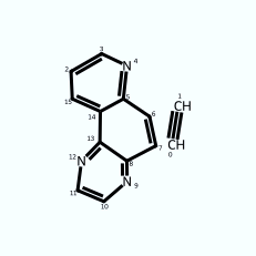 C#C.c1cnc2ccc3nccnc3c2c1